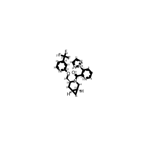 O=C(c1ncccc1-n1nccn1)N1C[C@H]2C[C@H]2C[C@H]1COc1cc(C(F)(F)F)ccn1